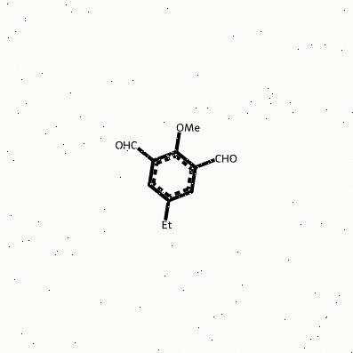 CCc1cc(C=O)c(OC)c(C=O)c1